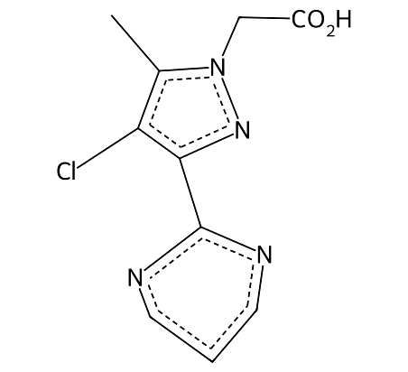 Cc1c(Cl)c(-c2ncccn2)nn1CC(=O)O